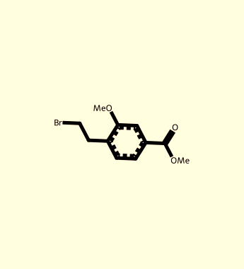 COC(=O)c1ccc(CCBr)c(OC)c1